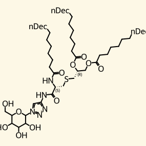 CCCCCCCCCCCCCCCCC(=O)N[C@H](CSC[C@@H](COC(=O)CCCCCCCCCCCCCCCC)OC(=O)CCCCCCCCCCCCCCCC)C(=O)Nc1cn(C2OC(CO)C(O)C(O)C2O)nn1